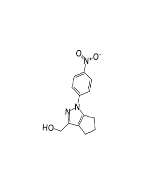 O=[N+]([O-])c1ccc(-n2nc(CO)c3c2CCC3)cc1